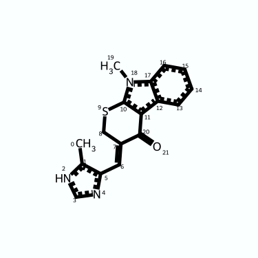 Cc1[nH]cnc1C=C1CSc2c(c3ccccc3n2C)C1=O